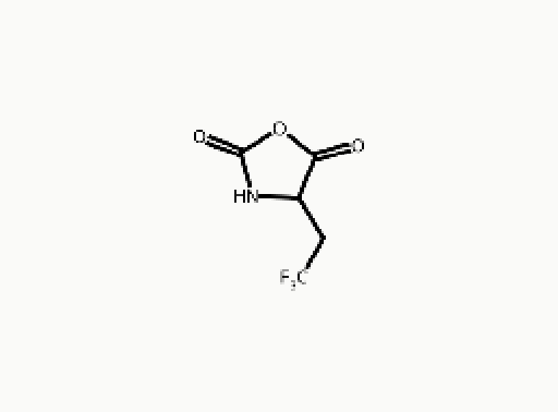 O=C1NC(CC(F)(F)F)C(=O)O1